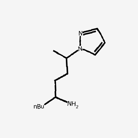 CCCCC(N)CCC(C)n1cccn1